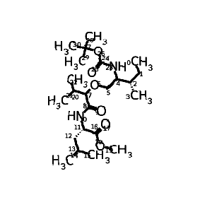 CC[C@H](C)C(COC(C(=O)N[C@@H](CC(C)C)C(=O)OC)C(C)C)NC(=O)OC(C)(C)C